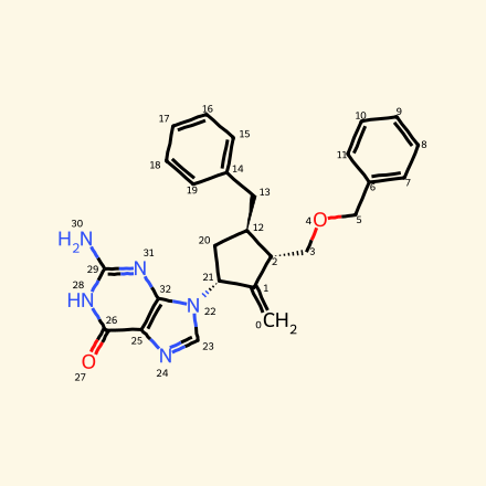 C=C1[C@@H](COCc2ccccc2)[C@H](Cc2ccccc2)C[C@H]1n1cnc2c(=O)[nH]c(N)nc21